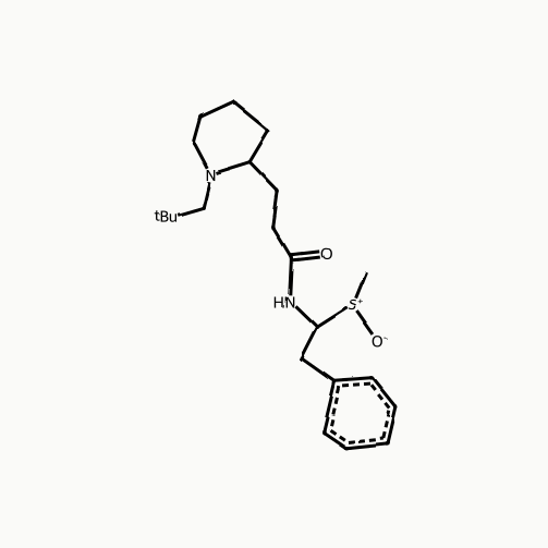 C[S+]([O-])C(Cc1ccccc1)NC(=O)CCC1CCCCN1CC(C)(C)C